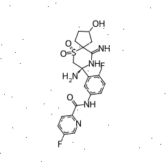 N=C1N[C@](N)(c2cc(NC(=O)c3ccc(F)cn3)ccc2F)CS(=O)(=O)C12CCC(O)C2